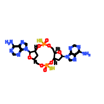 CC[C@@]12COP(=O)(S)O[C@@H]3C[C@@H](COP(=O)(S)O[C@H]1C[C@H](n1cnc4c(N)ncnc41)O2)O[C@H]3n1cnc2c(N)ncnc21